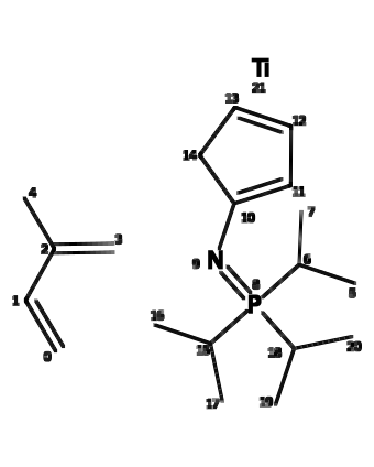 C=CC(=C)C.CC(C)P(=NC1=CC=CC1)(C(C)C)C(C)C.[Ti]